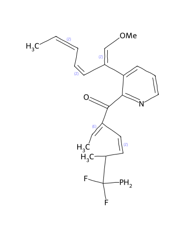 C\C=C/C=C\C(=C\OC)c1cccnc1C(=O)C(/C=C\C(C)C(F)(F)P)=C/C